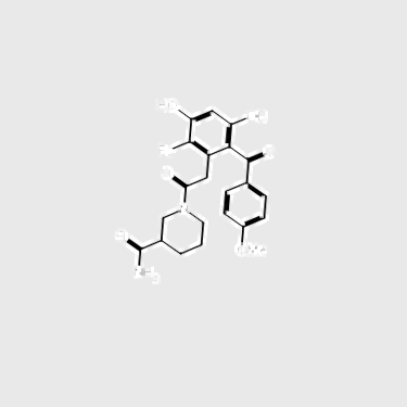 CCc1c(O)cc(O)c(C(=O)c2ccc(OC)cc2)c1CC(=O)N1CCCC(C(N)=O)C1